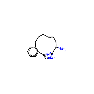 NC1C/C=C/CCCc2ccccc2-c2c[nH]c1n2